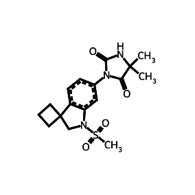 CC1(C)NC(=O)N(c2ccc3c(c2)N(S(C)(=O)=O)CC32CCC2)C1=O